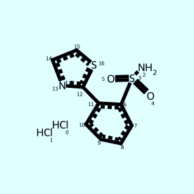 Cl.Cl.NS(=O)(=O)c1ccccc1-c1nccs1